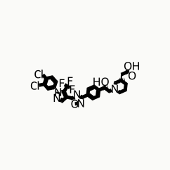 O=C(O)C[C@H]1CCCN(C[C@@H](O)c2ccc(-c3noc(-c4cnn(-c5ccc(Cl)c(Cl)c5)c4C(F)(F)F)n3)cc2)C1